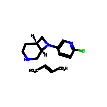 Clc1ccc(N2C[C@@H]3CCNC[C@@H]32)cn1.O=C(O)C=CC(=O)O